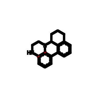 c1ccc(-c2cccc3c2C(N2CCNCC2)CCC3)cc1